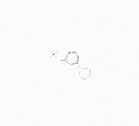 FC(F)(F)Oc1cccc(B2OCCO2)c1